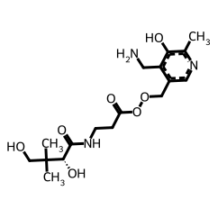 Cc1ncc(COOC(=O)CCNC(=O)[C@H](O)C(C)(C)CO)c(CN)c1O